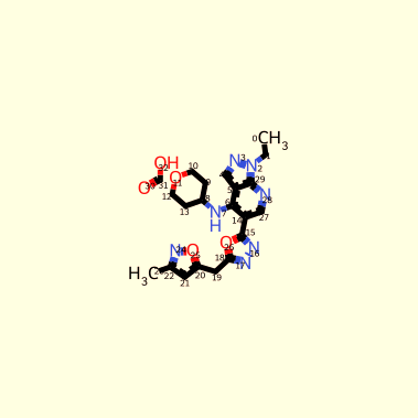 CCn1ncc2c(NC3CCOCC3)c(-c3nnc(Cc4cc(C)no4)o3)cnc21.O=CO